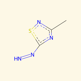 Cc1nsc(N=N)n1